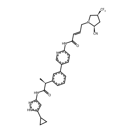 C[C@H](C(=O)Nc1cc(C2CC2)[nH]n1)c1cccc(-c2ccc(NC(=O)/C=C/CN3C[C@@H](C(F)(F)F)C[C@H]3C#N)nc2)c1